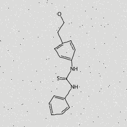 [O]CCc1ccc(NC(=S)Nc2ccccc2)cc1